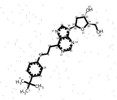 CC(C)(C)c1ccc(SCCc2ncnc3c2ncn3[C@H]2C[C@H](O)[C@@H](CO)O2)cc1